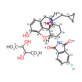 O=C(O)C(O)C(O)C(=O)O.O=C1c2ccc(F)cc2C(=O)N1[C@H]1CC[C@@]2(O)[C@H]3Cc4ccc(O)c5c4[C@@]2(CCN3CC2CC2)[C@H]1O5